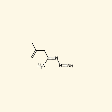 C=C(C)C/C(N)=N/N=N